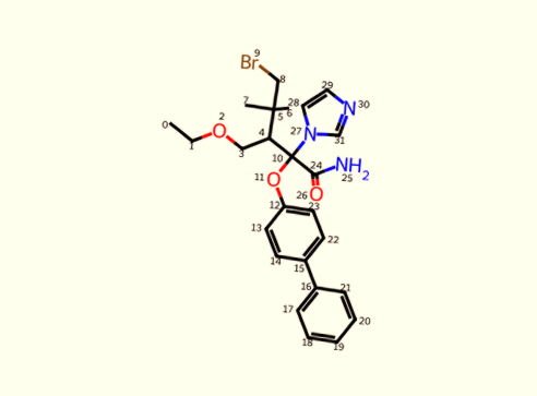 CCOCC(C(C)(C)CBr)C(Oc1ccc(-c2ccccc2)cc1)(C(N)=O)n1ccnc1